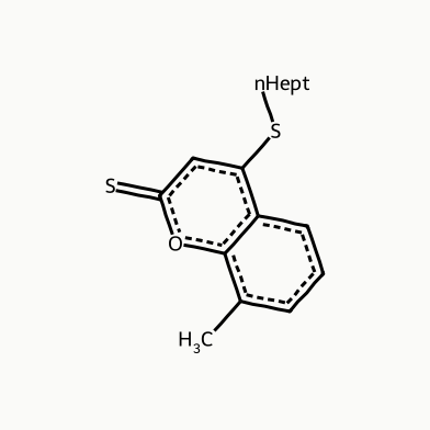 CCCCCCCSc1cc(=S)oc2c(C)cccc12